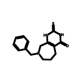 O=c1[nH]c(=S)[nH]c2c1CCCN(Cc1ccccc1)C2